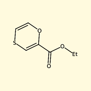 CCOC(=O)C1=CSC=CO1